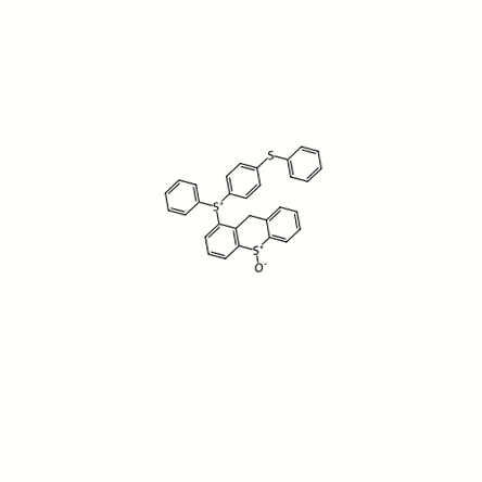 [O-][S+]1c2ccccc2Cc2c1cccc2[S+](c1ccccc1)c1ccc(Sc2ccccc2)cc1